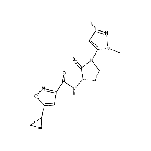 Cc1cc(N2CCC(NC(=O)c3cc(C4CC4)on3)C2=O)n(C)n1